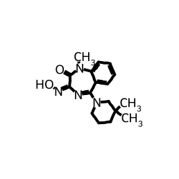 Cn1c(=O)c(=NO)nc(N2CCCC(C)(C)C2)c2ccccc21